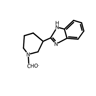 O=[C]N1CCCC(c2nc3ccccc3[nH]2)C1